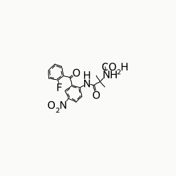 CC(C)(NC(=O)O)C(=O)Nc1ccc([N+](=O)[O-])cc1C(=O)c1ccccc1F